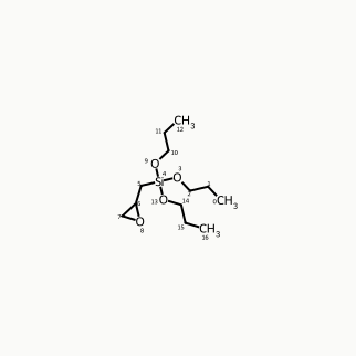 CCCO[Si](CC1CO1)(OCCC)OCCC